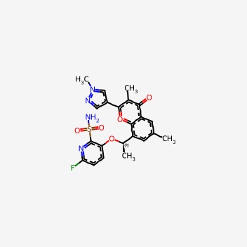 Cc1cc([C@@H](C)Oc2ccc(F)nc2S(N)(=O)=O)c2oc(-c3cnn(C)c3)c(C)c(=O)c2c1